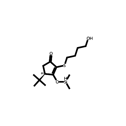 C[SiH](C)OC1=C(SCCCCO)C(=O)C[C@@H]1C(C)(C)C